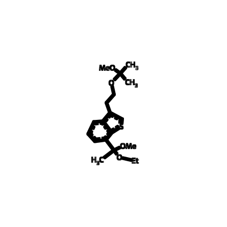 CCOC(C)(OC)c1cccc2c(CCOC(C)(C)OC)csc12